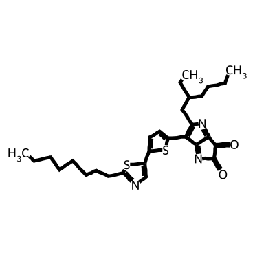 CCCCCCCCc1ncc(-c2ccc(-c3c(CC(CC)CCCC)nc4c(=O)c(=O)nc3-4)s2)s1